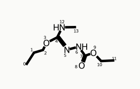 CCCOC(=NNC(=O)OCC)NC